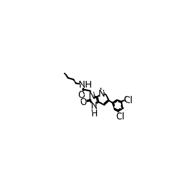 CCCCNC(=O)Cn1c2c([nH]c1=O)C=C(c1cc(Cl)cc(Cl)c1)CN2C